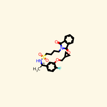 C[C@@H](NS(=O)(=O)CCCCN1C(=O)c2ccccc2C1=O)c1ccc(F)c(OCC2CC2)c1